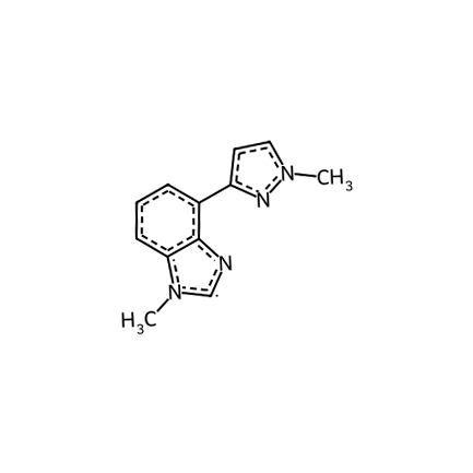 Cn1ccc(-c2cccc3c2n[c]n3C)n1